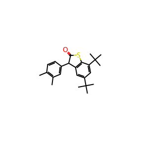 Cc1ccc(C2C(=O)Sc3c2cc(C(C)(C)C)cc3C(C)(C)C)cc1C